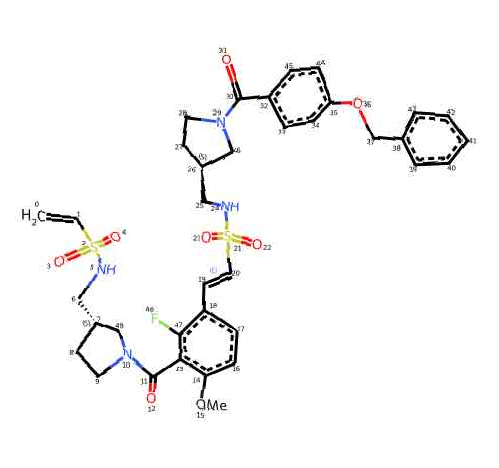 C=CS(=O)(=O)NC[C@H]1CCN(C(=O)c2c(OC)ccc(/C=C/S(=O)(=O)NC[C@H]3CCN(C(=O)c4ccc(OCc5ccccc5)cc4)C3)c2F)C1